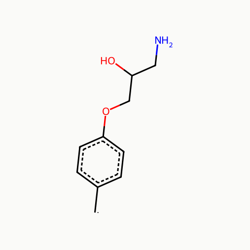 [CH2]c1ccc(OCC(O)CN)cc1